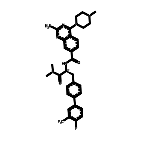 CN1CCN(c2nc(N)nc3cc(C(=O)N[C@@H](Cc4ccc(-c5ccc(F)c(C(F)(F)F)c5)cc4)C(=O)N(C)C)ccc23)CC1